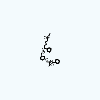 CCOC(=O)CCCCC(=NOCc1cccc(OCc2nc(-c3ccccc3)oc2C)c1)c1ccccc1